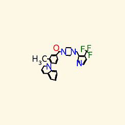 Cc1cc(C(=O)N2CCN(Cc3cnccc3C(F)(F)F)CC2)ccc1N1CC=Cc2ccccc21